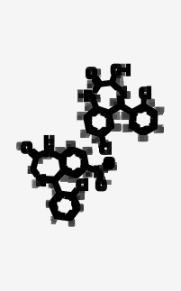 O=C1CN=C(c2ccccc2Cl)c2cc([N+](=O)[O-])ccc2N1.O=C1Nc2ccc(Cl)cc2C(c2ccccc2Cl)=NC1O